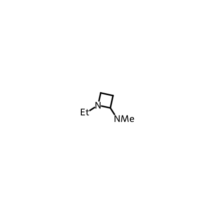 CCN1CCC1NC